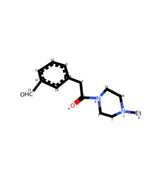 CCN1CCN(C(=O)Cc2cccc(C=O)c2)CC1